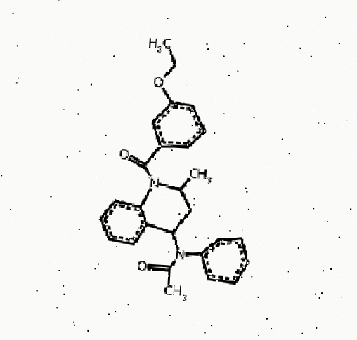 CCOc1cccc(C(=O)N2c3ccccc3C(N(C(C)=O)c3ccccc3)CC2C)c1